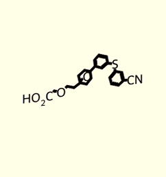 N#Cc1cccc(Sc2cccc(C34CCC(CCOCC(=O)O)(CC3)CO4)c2)c1